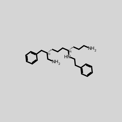 NCCC[C@@H](CCC[C@H](CN)Cc1ccccc1)NCCc1ccccc1